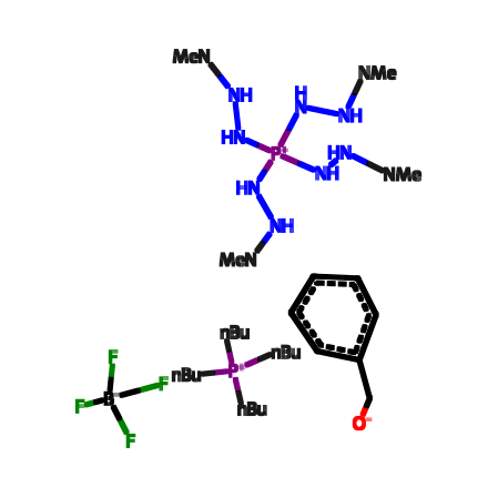 CCCC[P+](CCCC)(CCCC)CCCC.CNNN[P+](NNNC)(NNNC)NNNC.F[B-](F)(F)F.[O-]Cc1ccccc1